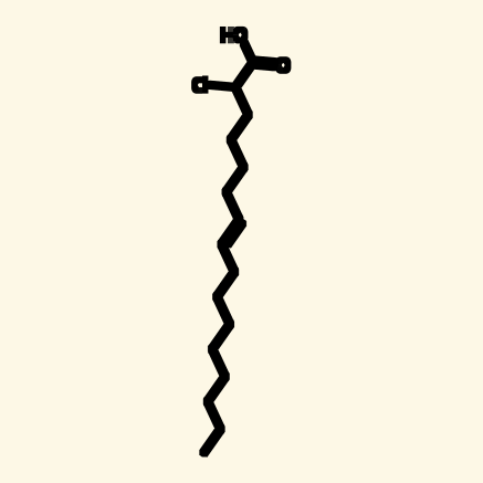 CCCCCCCC/C=C/CCCCC(Cl)C(=O)O